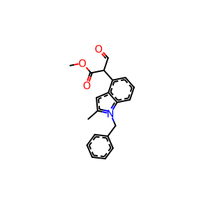 COC(=O)C(C=O)c1cccc2c1cc(C)n2Cc1ccccc1